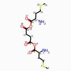 CSCC[C@H](N)C(=O)OC(=O)CCC(=O)OC(=O)[C@@H](N)CCSC